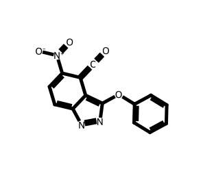 O=C=c1c([N+](=O)[O-])ccc2c1=C(Oc1ccccc1)N=N2